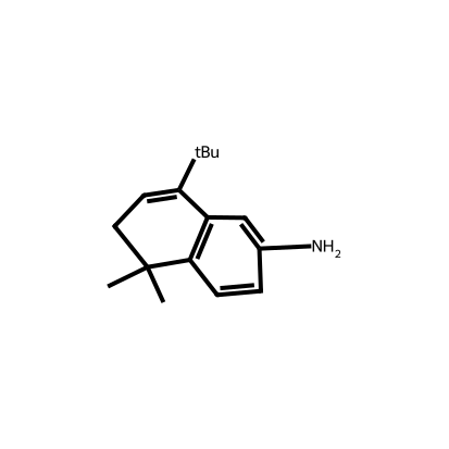 CC(C)(C)C1=CCC(C)(C)c2ccc(N)cc21